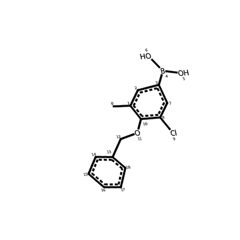 Cc1cc(B(O)O)cc(Cl)c1OCc1ccccc1